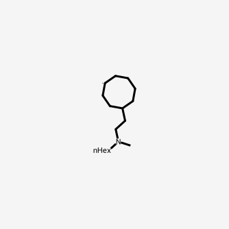 CCCCCCN(C)CCC1CC[CH]CCCC1